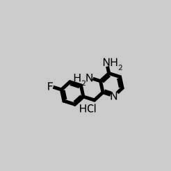 Cl.Nc1ccnc(Cc2ccc(F)cc2)c1N